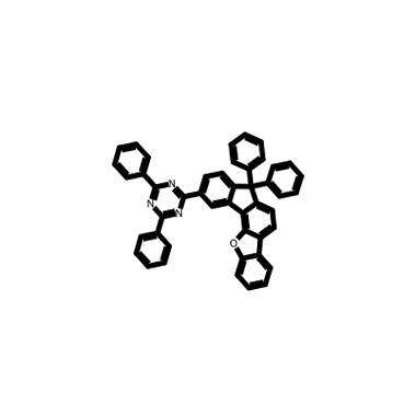 c1ccc(-c2nc(-c3ccccc3)nc(-c3ccc4c(c3)-c3c(ccc5c3oc3ccccc35)C4(c3ccccc3)c3ccccc3)n2)cc1